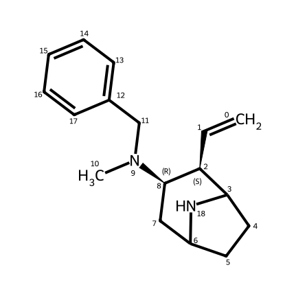 C=C[C@H]1C2CCC(C[C@H]1N(C)Cc1ccccc1)N2